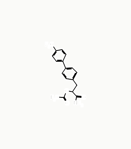 NC(=O)C(Cc1ccc(-c2ccc(C(F)(F)F)cc2)cc1)OC(=O)C(F)(F)F